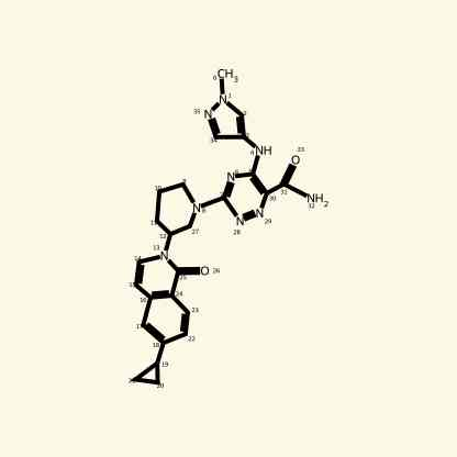 Cn1cc(Nc2nc(N3CCCC(n4ccc5cc(C6CC6)ccc5c4=O)C3)nnc2C(N)=O)cn1